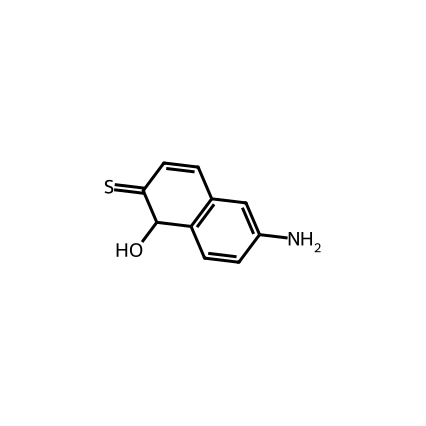 Nc1ccc2c(c1)C=CC(=S)C2O